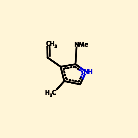 C=Cc1c(C)c[nH]c1NC